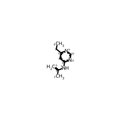 C=C(C)Nc1cc(CC)ncn1